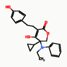 CCN(c1ccccc1)C1(C2CC2)COC(=O)C(CCc2ccc(O)cc2)=C1O